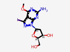 COc1nc(N)nc2c1c(I)nn2[C@H]1C[C@@H](O)[C@@H](CO)O1